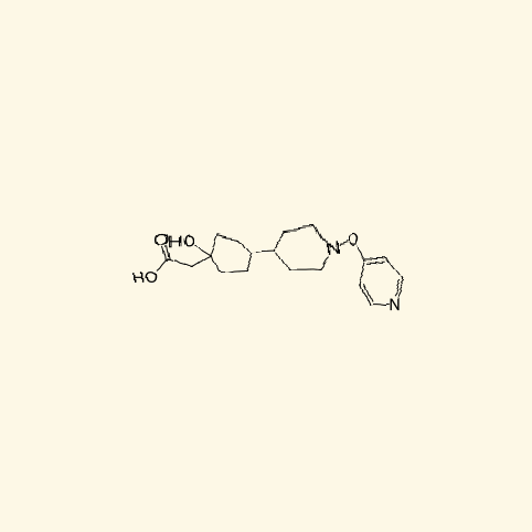 O=C(O)CC1(O)CCC(C2CCN(Oc3ccncc3)CC2)CC1